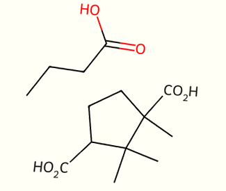 CC1(C(=O)O)CCC(C(=O)O)C1(C)C.CCCC(=O)O